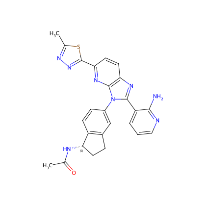 CC(=O)N[C@H]1CCc2cc(-n3c(-c4cccnc4N)nc4ccc(-c5nnc(C)s5)nc43)ccc21